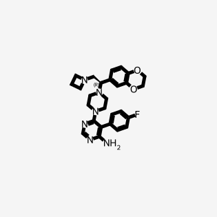 Nc1ncnc(N2CCN([C@@H](CN3CCC3)c3ccc4c(c3)OCCO4)CC2)c1-c1ccc(F)cc1